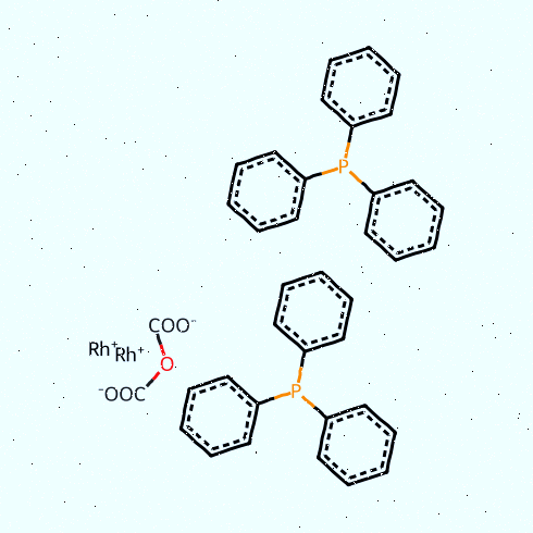 O=C([O-])OC(=O)[O-].[Rh+].[Rh+].c1ccc(P(c2ccccc2)c2ccccc2)cc1.c1ccc(P(c2ccccc2)c2ccccc2)cc1